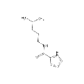 CC(C)CCCNC(=O)c1ccc[nH]1